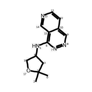 CC1(C)CC(Nc2nncc3ccncc23)CO1